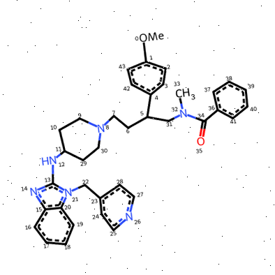 COc1ccc(C(CCN2CCC(Nc3nc4ccccc4n3Cc3ccncc3)CC2)CN(C)C(=O)c2ccccc2)cc1